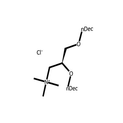 CCCCCCCCCCOC[C@H](C[N+](C)(C)C)OCCCCCCCCCC.[Cl-]